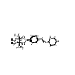 CC1(C)OB(c2ccc(COC3CCCCO3)nc2)OC1(C)C